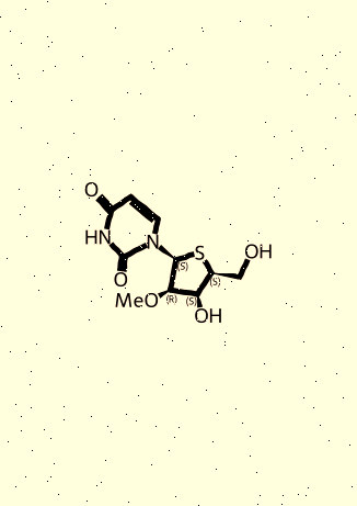 CO[C@@H]1[C@H](O)[C@H](CO)S[C@@H]1n1ccc(=O)[nH]c1=O